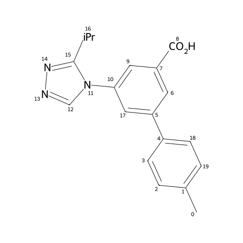 Cc1ccc(-c2cc(C(=O)O)cc(-n3cnnc3C(C)C)c2)cc1